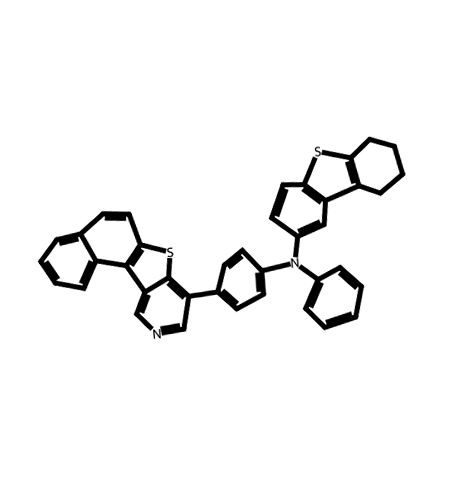 c1ccc(N(c2ccc(-c3cncc4c3sc3ccc5ccccc5c34)cc2)c2ccc3sc4c(c3c2)CCCC4)cc1